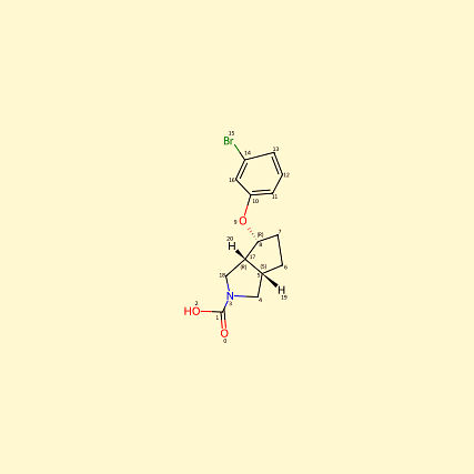 O=C(O)N1C[C@H]2CC[C@@H](Oc3cccc(Br)c3)[C@H]2C1